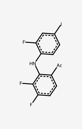 CC(=O)c1ccc(F)c(F)c1Nc1ccc(I)cc1F